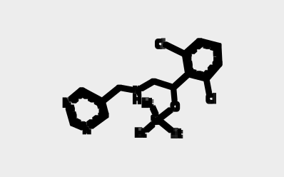 CC[Si](CC)(CC)OC(CNCc1cncnc1)c1c(Cl)cccc1Cl